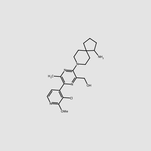 COc1nccc(-c2nc(CO)c(N3CCC4(CCCC4N)CC3)nc2C)c1Cl